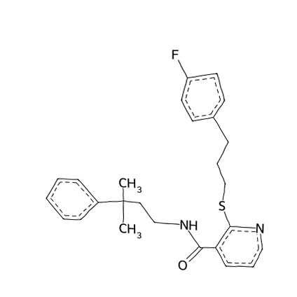 CC(C)(CCNC(=O)c1cccnc1SCCCc1ccc(F)cc1)c1ccccc1